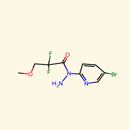 COCC(F)(F)C(=O)N(N)c1ccc(Br)cn1